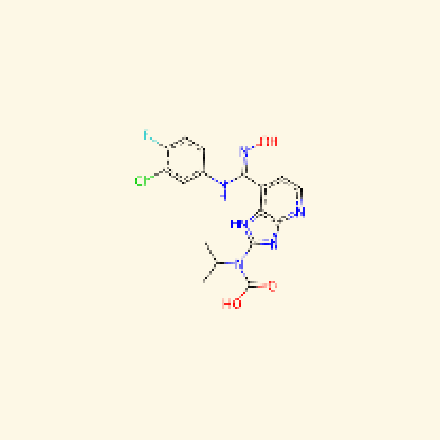 CC(C)N(C(=O)O)c1nc2nccc(/C(=N\O)Nc3ccc(F)c(Cl)c3)c2[nH]1